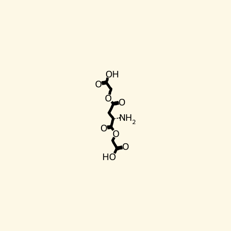 N[C@@H](CC(=O)OCC(=O)O)C(=O)OCC(=O)O